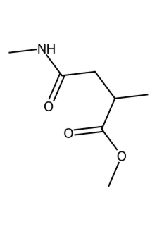 CNC(=O)CC(C)C(=O)OC